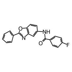 O=C(Nc1ccc2oc(-c3ccccc3)nc2c1)c1ccc(F)cc1